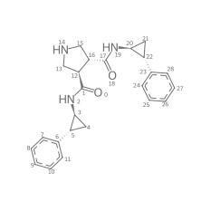 O=C(N[C@H]1C[C@@H]1c1ccccc1)[C@H]1CNC[C@@H]1C(=O)N[C@H]1C[C@@H]1c1ccccc1